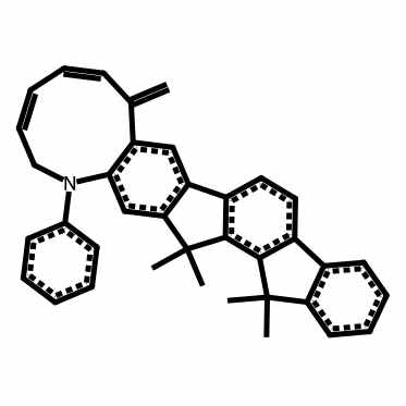 C=C1/C=C\C=C/CN(c2ccccc2)c2cc3c(cc21)-c1ccc2c(c1C3(C)C)C(C)(C)c1ccccc1-2